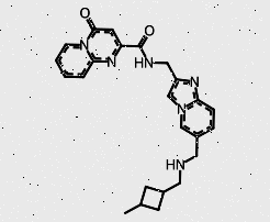 CC1CC(CNCc2ccc3nc(CNC(=O)c4cc(=O)n5ccccc5n4)cn3c2)C1